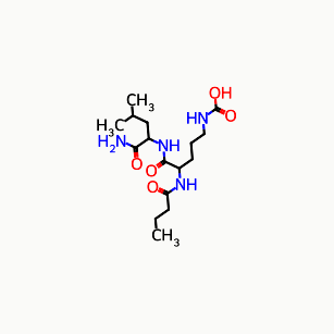 CCCC(=O)NC(CCCNC(=O)O)C(=O)NC(CC(C)C)C(N)=O